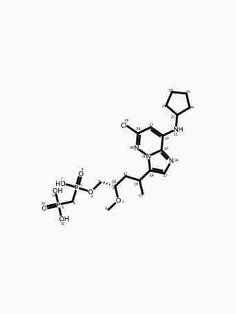 CO[C@H](COP(=O)(O)CP(=O)(O)O)CC(C)c1cnc2c(NC3CCCC3)cc(Cl)nn12